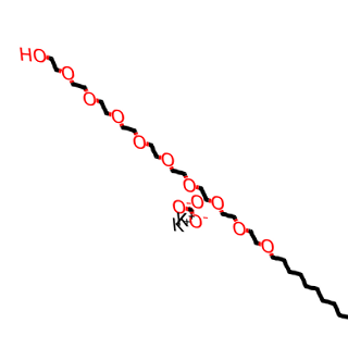 CCCCCCCCCCCCOCCOCCOCCOCCOCCOCCOCCOCCOCCO.O=C([O-])[O-].[K+].[K+]